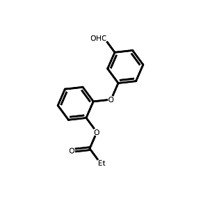 CCC(=O)Oc1ccccc1Oc1cccc(C=O)c1